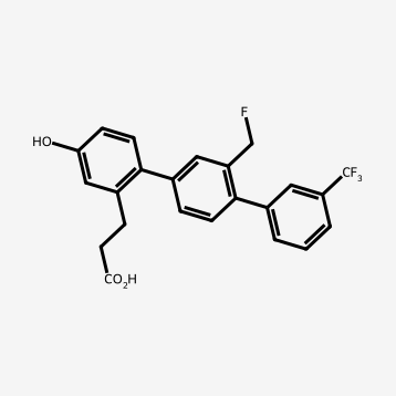 O=C(O)CCc1cc(O)ccc1-c1ccc(-c2cccc(C(F)(F)F)c2)c(CF)c1